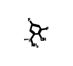 C[C@@H](N)c1cc(F)cc(F)c1O